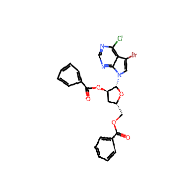 O=C(OC[C@@H]1C[C@@H](OC(=O)c2ccccc2)[C@H](n2cc(Br)c3c(Cl)ncnc32)O1)c1ccccc1